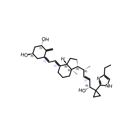 C=C1/C(=C\C=C2/CCC[C@]3(C)[C@@H]([C@H](C)/C=C/[C@@H](O)C4(c5nc(CC)c[nH]5)CC4)CC[C@@H]23)C[C@@H](O)C[C@@H]1O